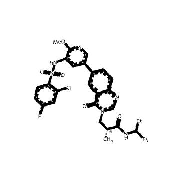 CCC(CC)NC(=O)[C@H](C)Cn1cnc2ccc(-c3cnc(OC)c(NS(=O)(=O)c4ccc(F)cc4Cl)c3)cc2c1=O